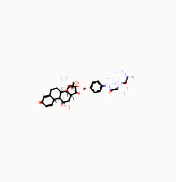 CC(C)[C@H](N)C(=O)N[C@@H](C)C(=O)Nc1ccc([C@@H]2O[C@@H]3C[C@H]4[C@@H]5CCC6=CC(=O)C=C[C@]6(C)C5[C@@H](O)C[C@]4(C)[C@]3(C(=O)CO)O2)cc1